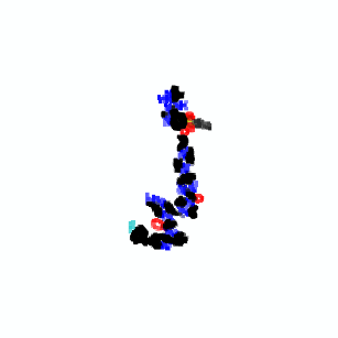 Cc1n[nH]c(Nc2ncnc3cc(OCCCN4CCN(c5cnc(C(=O)N6CCN(C[C@H]7CN[C@H](C)CN7CC(=O)N7CC(C)(C)c8ncc(Cc9ccc(F)cc9)cc87)C(C)C6)nc5)CC4)c(S(=O)(=O)C(C)(C)C)cc23)c1C